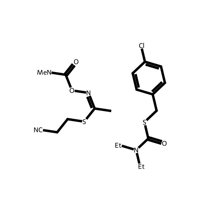 CCN(CC)C(=O)SCc1ccc(Cl)cc1.CNC(=O)O/N=C(/C)SCCC#N